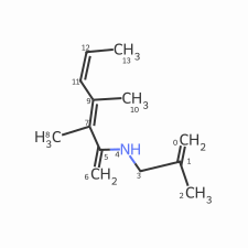 C=C(C)CNC(=C)/C(C)=C(C)/C=C\C